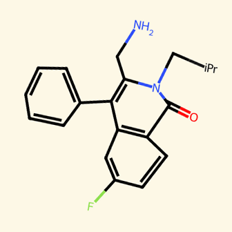 CC(C)Cn1c(CN)c(-c2ccccc2)c2cc(F)ccc2c1=O